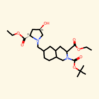 CCOC(=O)C1CC2CC(CN3C[C@H](O)C[C@H]3C(=O)OCC)CCC2CN1C(=O)OC(C)(C)C